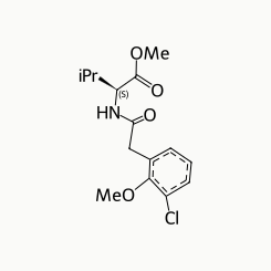 COC(=O)[C@@H](NC(=O)Cc1cccc(Cl)c1OC)C(C)C